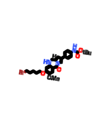 COc1cc2c(cc1OCCCCCBr)NC[C@@H]1CC(c3ccc(NC(=O)OC(C)(C)C)cc3)=CN1C2=O